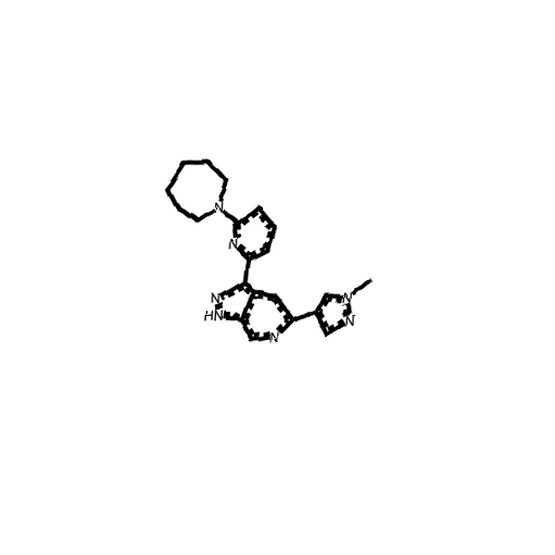 Cn1cc(-c2cc3c(-c4cccc(N5CCCCCC5)n4)n[nH]c3cn2)cn1